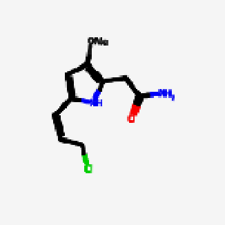 COc1cc(/C=C\CCl)[nH]c1CC(N)=O